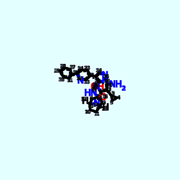 Nc1c(C2CC2)c([C@H]2C[C@H]3CC[C@@H](C2)N3C(=O)NO)nc2c(-c3ccc(-c4ccccc4)nc3)cnn12